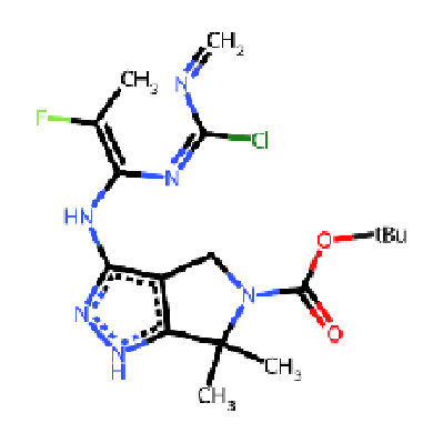 C=N/C(Cl)=N\C(Nc1n[nH]c2c1CN(C(=O)OC(C)(C)C)C2(C)C)=C(/C)F